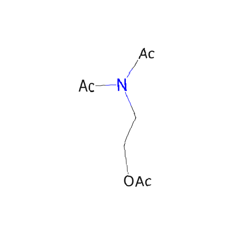 CC(=O)OCCN(C(C)=O)C(C)=O